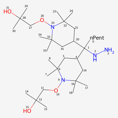 CCCCCC(NN)(C1CC(C)(C)N(OCC(C)(C)O)C(C)(C)C1)C1CC(C)(C)N(OCC(C)(C)O)C(C)(C)C1